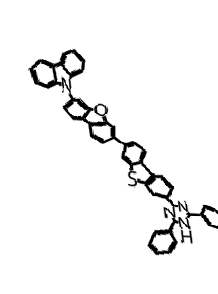 c1ccc(C2=NC(c3ccc4c(c3)sc3cc(-c5ccc6c(c5)oc5cc(-n7c8ccccc8c8ccccc87)ccc56)ccc34)=NC(c3ccccc3)N2)cc1